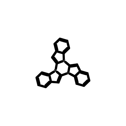 c1ccc2c(c1)cc1n2c2cc3ccccc3n2c2cc3ccccc3n12